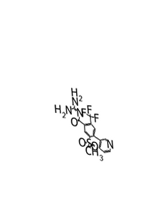 CS(=O)(=O)c1cc(C(=O)N=C(N)N)c(C(F)(F)F)cc1-c1cccnc1